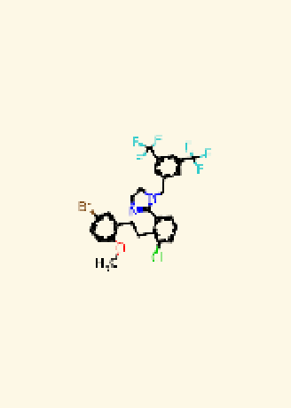 COc1ccc(Br)cc1CCc1c(Cl)cccc1C1=NCCN1Cc1cc(C(F)(F)F)cc(C(F)(F)F)c1